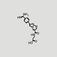 N=C(N)c1ccc(-c2cn3cc(C(=O)NCCC(=O)O)cnc3n2)cc1